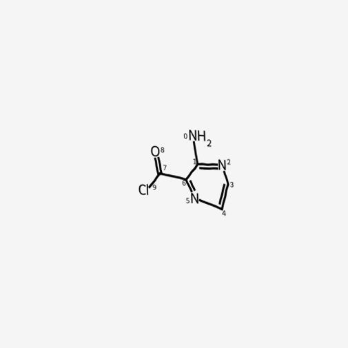 Nc1nccnc1C(=O)Cl